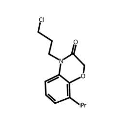 CC(C)c1cccc2c1OCC(=O)N2CCCCl